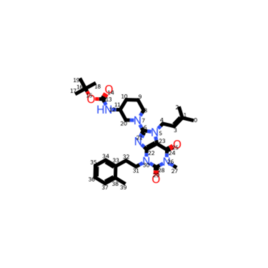 CC(C)=CCn1c(N2CCCC(NC(=O)OC(C)(C)C)C2)nc2c1c(=O)n(C)c(=O)n2CCc1ccccc1C